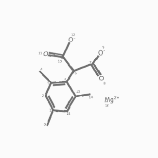 Cc1cc(C)c(C(C(=O)[O-])C(=O)[O-])c(C)c1.[Mg+2]